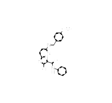 COc1ccc(CNc2ccc3nc(C)c(C(=O)Nc4ccccc4)n3n2)cc1